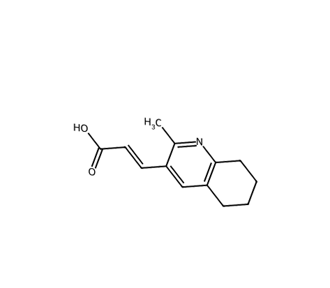 Cc1nc2c(cc1/C=C/C(=O)O)CCCC2